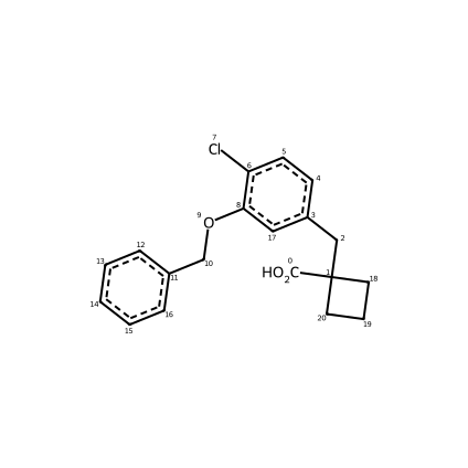 O=C(O)C1(Cc2ccc(Cl)c(OCc3ccccc3)c2)CCC1